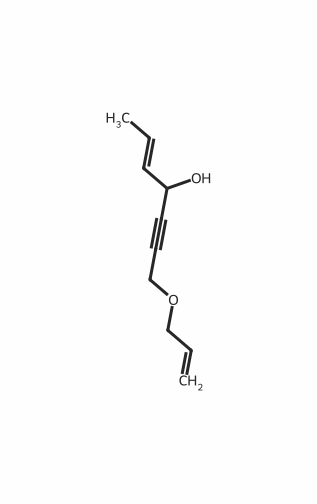 C=CCOCC#CC(O)/C=C/C